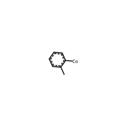 Cc1cccc[c]1[Co]